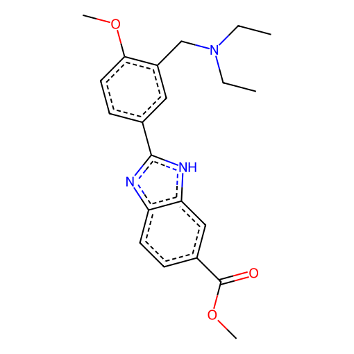 CCN(CC)Cc1cc(-c2nc3ccc(C(=O)OC)cc3[nH]2)ccc1OC